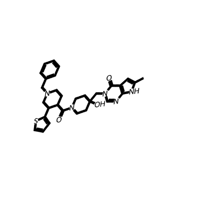 Cc1cc2c(=O)n(CC3(O)CCN(C(=O)C4CCN(Cc5ccccc5)CC4c4cccs4)CC3)cnc2[nH]1